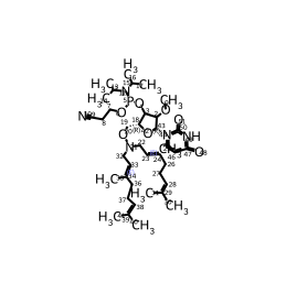 COC1C(OP(OCCC#N)N(C(C)C)C(C)C)[C@@H](CON(C/C=C(\C)CCC=C(C)C)C/C=C(\C)CCC=C(C)C)O[C@H]1n1ccc(=O)[nH]c1=O